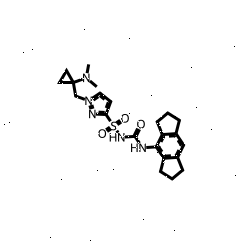 CN(C)C1(Cn2ccc(S(=O)(=O)NC(=O)Nc3c4c(cc5c3CCC5)CCC4)n2)CC1